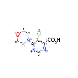 O=C(O)c1ncnc(N2CCOCC2)c1Cl